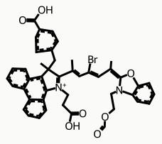 C\C(=C/C(Br)=C/C(C)=C1/Oc2ccccc2N1CCOC=O)C1=[N+](CCC(=O)O)c2c(c3ccccc3c3ccccc23)C1(C)Cc1ccc(C(=O)O)cc1